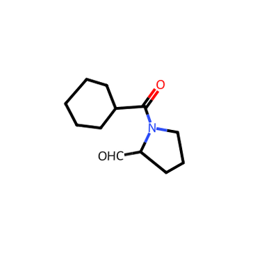 O=CC1CCCN1C(=O)C1CCCCC1